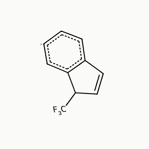 FC(F)(F)C1C=Cc2cc[c]cc21